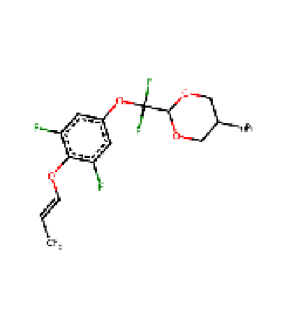 CCCC1COC(C(F)(F)Oc2cc(F)c(O/C=C/C(F)(F)F)c(F)c2)OC1